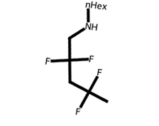 CCCCCCNCC(F)(F)CC(C)(F)F